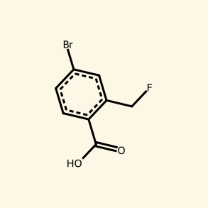 O=C(O)c1ccc(Br)cc1CF